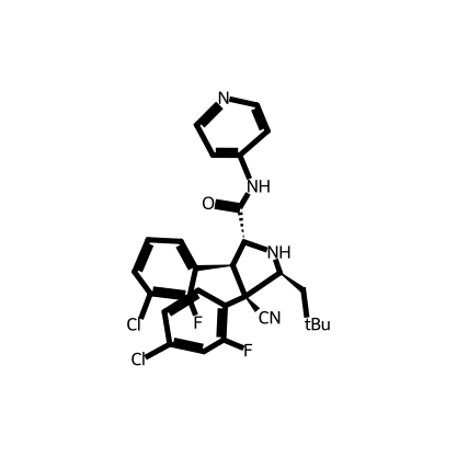 CC(C)(C)C[C@@H]1N[C@@H](C(=O)Nc2ccncc2)[C@H](c2cccc(Cl)c2F)[C@@]1(C#N)c1ccc(Cl)cc1F